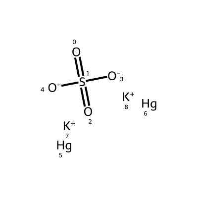 O=S(=O)([O-])[O-].[Hg].[Hg].[K+].[K+]